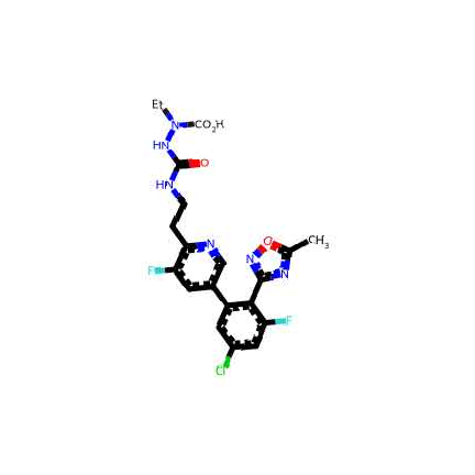 CCN(NC(=O)NCCc1ncc(-c2cc(Cl)cc(F)c2-c2noc(C)n2)cc1F)C(=O)O